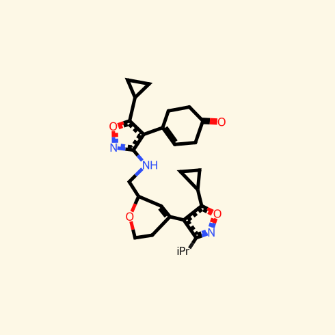 CC(C)c1noc(C2CC2)c1C1=CC(CNc2noc(C3CC3)c2C2=CCC(=O)CC2)OCC1